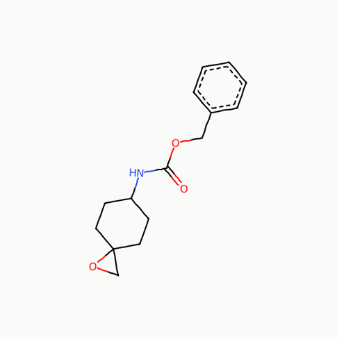 O=C(NC1CCC2(CC1)CO2)OCc1ccccc1